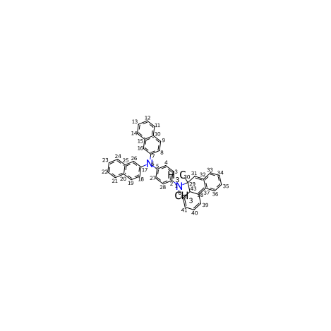 CN(c1ccc(N(c2ccc3ccccc3c2)c2ccc3ccccc3c2)cc1)C1(C)C=c2ccccc2=C2C=CC=CC21